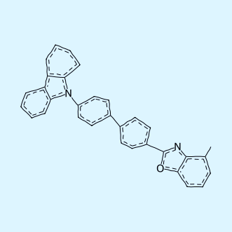 Cc1cccc2oc(-c3ccc(-c4ccc(-n5c6ccccc6c6ccccc65)cc4)cc3)nc12